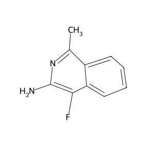 Cc1nc(N)c(F)c2ccccc12